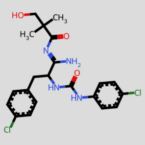 CC(C)(CO)C(=O)N=C(N)C(Cc1ccc(Cl)cc1)NC(=O)Nc1ccc(Cl)cc1